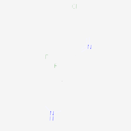 Fc1cc(Cl)cnc1CC1(F)CCNCC1